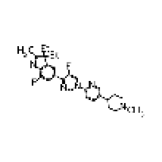 CCC1(CC)C(C)=Nc2c(F)cc(C3=NCN(c4ccc(C5CCN(C)CC5)cn4)C=C3F)cc21